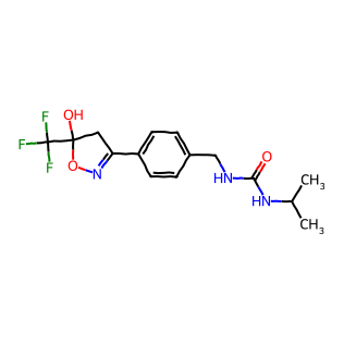 CC(C)NC(=O)NCc1ccc(C2=NOC(O)(C(F)(F)F)C2)cc1